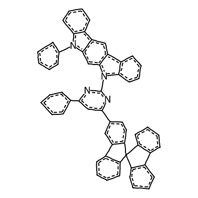 c1ccc(-c2cc(-c3ccc4c(c3)-c3ccccc3C43c4ccccc4-c4ccccc43)nc(-n3c4ccccc4c4cc5c6ccccc6n(-c6ccccc6)c5cc43)n2)cc1